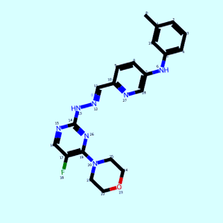 Cc1cccc(Nc2ccc(/C=N/Nc3ncc(F)c(N4CCOCC4)n3)nc2)c1